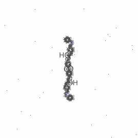 O=S(=O)(c1ccc(OCC(O)CN2CCN(C/C=C\c3ccccc3)CC2)cc1)c1ccc(OCC(O)CN2CCN(C/C=C\c3ccccc3)CC2)cc1